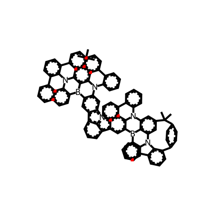 CC(C)(C)c1cc2c3c(c1)N(c1c(-c4ccccc4)cccc1-c1ccccc1)c1ccccc1B3c1cc3c4cccc5c6cc7c(cc6n(c3cc1N2c1ccccc1-c1ccccc1)c45)N(c1ccccc1-c1ccccc1)c1cc2cc3c1B7c1ccccc1N3c1c(-c3ccccc3)cccc1-c1ccc(cc1)C2(C)C